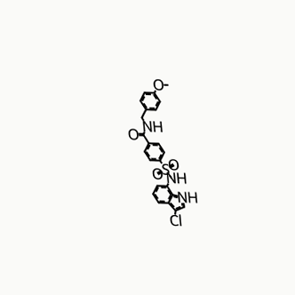 COc1ccc(CNC(=O)c2ccc(S(=O)(=O)Nc3cccc4c(Cl)c[nH]c34)cc2)cc1